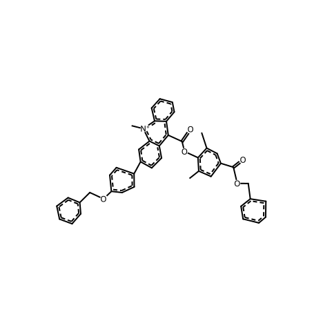 Cc1cc(C(=O)OCc2ccccc2)cc(C)c1OC(=O)c1c2ccccc2[n+](C)c2cc(-c3ccc(OCc4ccccc4)cc3)ccc12